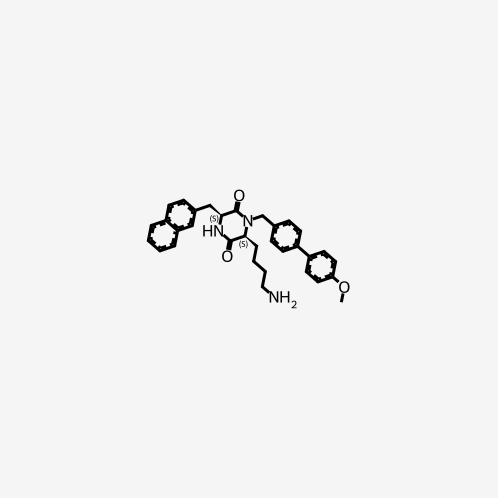 COc1ccc(-c2ccc(CN3C(=O)[C@H](Cc4ccc5ccccc5c4)NC(=O)[C@@H]3CCCCN)cc2)cc1